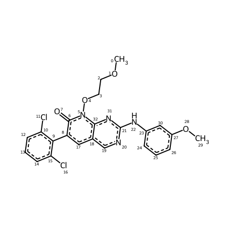 COCCOn1c(=O)c(-c2c(Cl)cccc2Cl)cc2cnc(Nc3cccc(OC)c3)nc21